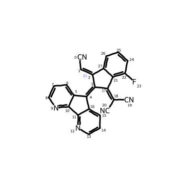 N#C/C=C1/C(=C2c3cccnc3-c3ncccc32)C(=C(C#N)C#N)c2c(F)cccc21